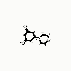 O=C1CC(=O)CC(N2CCOCC2)C1